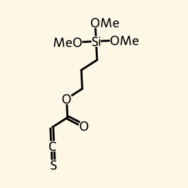 CO[Si](CCCOC(=O)C=C=S)(OC)OC